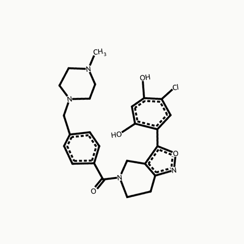 CN1CCN(Cc2ccc(C(=O)N3CCc4noc(-c5cc(Cl)c(O)cc5O)c4C3)cc2)CC1